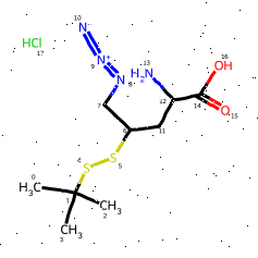 CC(C)(C)SSC(CN=[N+]=[N-])CC(N)C(=O)O.Cl